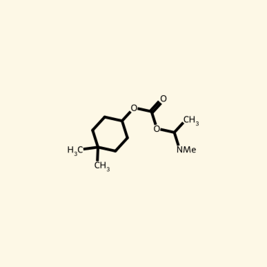 CNC(C)OC(=O)OC1CCC(C)(C)CC1